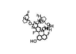 [2H]C12CCC(COC([2H])([2H])[2H])(CN(c3nc(OC[C@@]45CCCN4C[C@H](F)C5)nc4c(F)c(-c5cc(O)cc6ccc(F)c(C#C)c56)ncc34)C1)N2